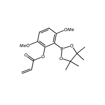 C=CC(=O)Oc1c(OC)ccc(OC)c1B1OC(C)(C)C(C)(C)O1